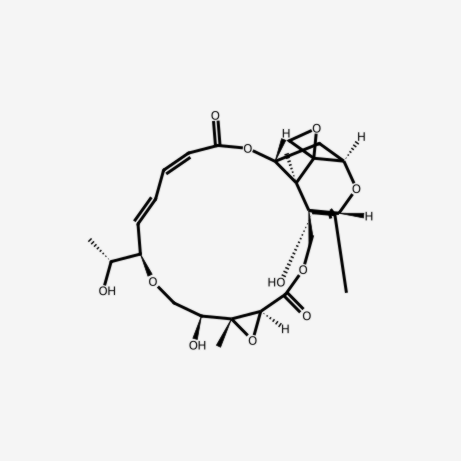 CC1=C[C@H]2O[C@@H]3C[C@H]4OC(=O)/C=C\C=C\[C@H]([C@@H](C)O)OC[C@H](O)[C@@]5(C)O[C@@H]5C(=O)OC[C@@]2(C[C@H]1O)[C@]4(C)C31CO1